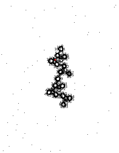 c1ccc(-c2ccc(-n3c4ccccc4c4ccc(-c5cccc6c5c5ccc(-c7ccc(-c8ccc(-n9c%10ccccc%10c%10ccc(-c%11ccc%12c%13ccccc%13n(-c%13ccccc%13)c%12c%11)cc%109)c9oc%10ccccc%10c89)cc7)cc5n6-c5ccccc5)cc43)c3oc4ccccc4c23)cc1